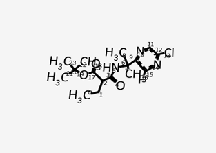 CCC(C(=O)NC(C)(C)c1ncc(Cl)nc1F)C(=O)OC(C)(C)C